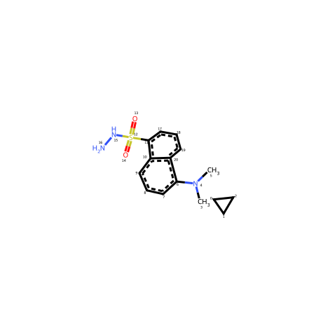 C1CC1.CN(C)c1cccc2c(S(=O)(=O)NN)cccc12